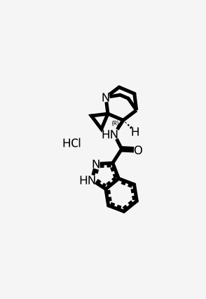 Cl.O=C(N[C@@H]1C2CCN(CC2)C12CC2)c1n[nH]c2ccccc12